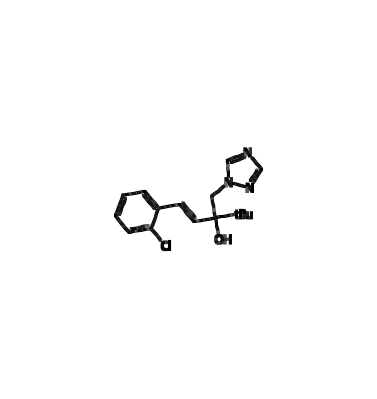 CC(C)(C)C(O)(C=Cc1ccccc1Cl)Cn1cncn1